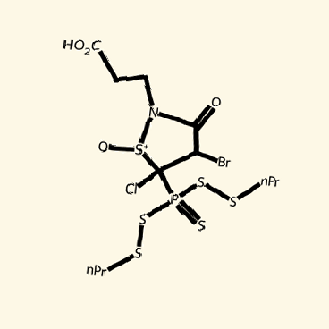 CCCSSP(=S)(SSCCC)C1(Cl)C(Br)C(=O)N(CCC(=O)O)[S+]1[O-]